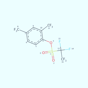 O=S(=O)(Oc1ccc(C(F)(F)F)cc1C(F)(F)F)C(F)(F)C(F)(F)F